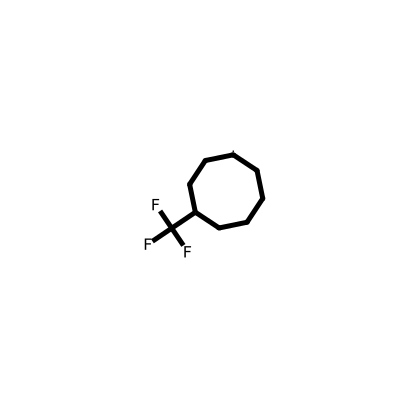 FC(F)(F)C1CC[CH]CCCC1